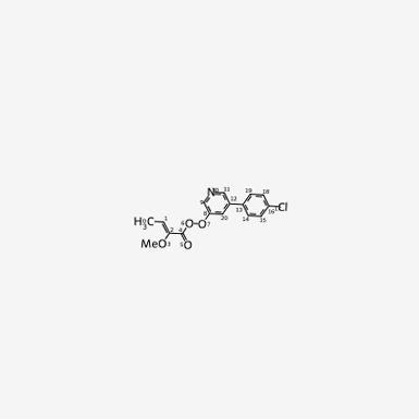 CC=C(OC)C(=O)OOc1cncc(-c2ccc(Cl)cc2)c1